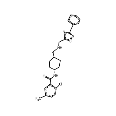 O=C(N[C@H]1CC[C@H](CNCc2nc(-c3ccccc3)no2)CC1)c1cc(C(F)(F)F)ccc1Cl